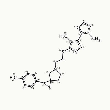 Cc1ncoc1-c1nnc(SCCN2CCC3(C[C@H]3c3ccc(C(F)(F)F)cc3)C2)n1C